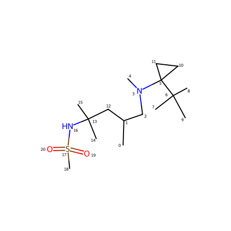 CC(CN(C)C1(C(C)(C)C)CC1)CC(C)(C)NS(C)(=O)=O